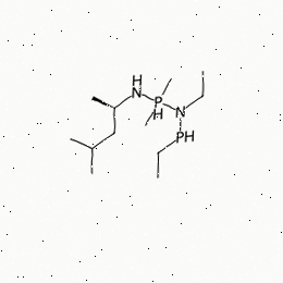 CCPN(CC)[PH](C)(C)N[C@H](C)CC(C)C